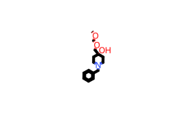 COCOCC1(O)CCN(Cc2ccccc2)CC1